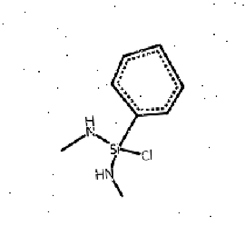 CN[Si](Cl)(NC)c1ccccc1